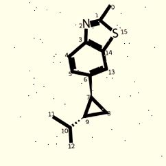 Cc1nc2ccc([C@H]3C[C@@H]3C(C)C)cc2s1